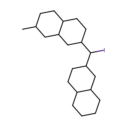 CC1CCC2CCC(C(I)C3CCC4CCCCC4C3)CC2C1